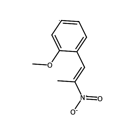 COc1c[c]ccc1C=C(C)[N+](=O)[O-]